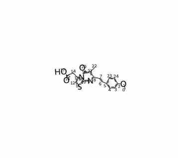 COc1ccc(/C=C/c2nc3scc(CC(=O)O)n3c(=O)c2C)cc1